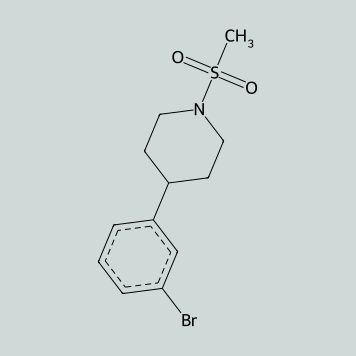 CS(=O)(=O)N1CCC(c2cccc(Br)c2)CC1